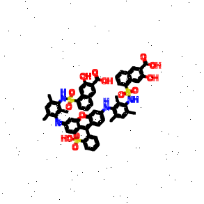 Cc1cc(C)c(NS(=O)(=O)c2cccc3cc(C(=O)O)c(O)cc23)c(C)c1/N=c1/ccc2c(-c3ccccc3S(=O)(=O)O)c3ccc(Nc4c(C)cc(C)c(NS(=O)(=O)c5cccc6cc(C(=O)O)c(O)cc56)c4C)cc3oc-2c1